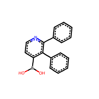 OB(O)c1ccnc(-c2ccccc2)c1-c1ccccc1